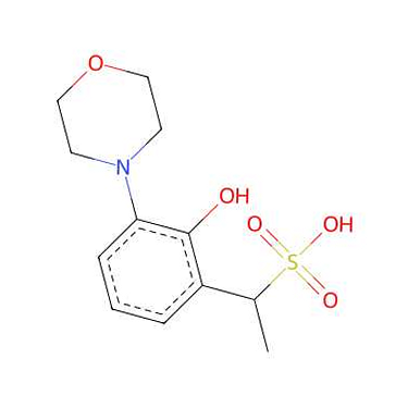 CC(c1cccc(N2CCOCC2)c1O)S(=O)(=O)O